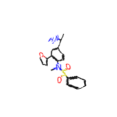 CC(N)c1ccc(N(C)S(=O)(=O)c2ccccc2)c(-c2ccco2)c1